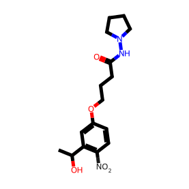 CC(O)c1cc(OCCCC(=O)NN2CCCC2)ccc1[N+](=O)[O-]